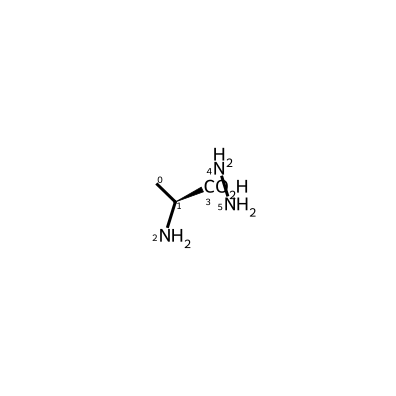 C[C@H](N)C(=O)O.NN